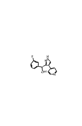 OC(c1cccc(F)c1)c1n[nH]cc1-c1ccncc1